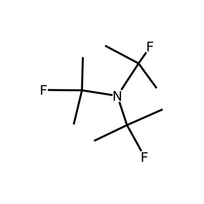 CC(C)(F)N(C(C)(C)F)C(C)(C)F